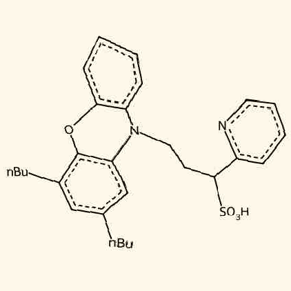 CCCCc1cc(CCCC)c2c(c1)N(CCC(c1ccccn1)S(=O)(=O)O)c1ccccc1O2